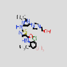 Bc1cc(C)c(NC(=O)c2cnc(Nc3cc(N4CCN(CCO)CC4)nc(C)n3)s2)c(Cl)c1